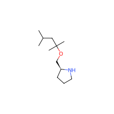 CC(C)CC(C)(C)OC[C@@H]1CCCN1